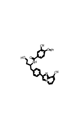 CC(C)Oc1ccc(C(=O)NC(CCO)Cc2ccc(-c3cn4cccc(C#N)c4n3)cc2)cc1C#N